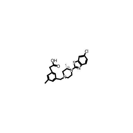 Cc1cc(CC(=O)O)cc(CN2CCN(c3nc4ccc(Cl)cc4s3)[C@@H](C)C2)c1